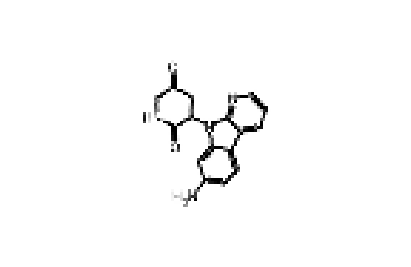 Nc1ccc2c3cccnc3n(C3CC(=O)CNC3=O)c2c1